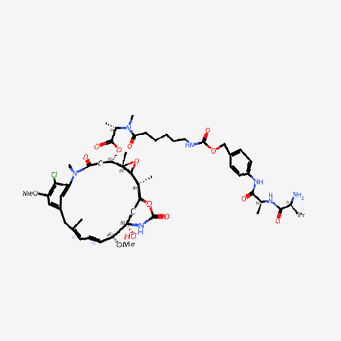 COc1cc2cc(c1Cl)N(C)C(=O)C[C@H](OC(=O)[C@H](C)N(C)C(=O)CCCCCNC(=O)OCc1ccc(NC(=O)[C@H](C)NC(=O)[C@@H](N)C(C)C)cc1)[C@]1(C)OC1[C@H](C)C1C[C@@](O)(NC(=O)O1)[C@H](OC)/C=C/C=C(\C)C2